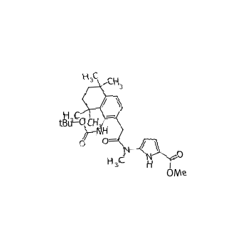 COC(=O)c1ccc(N(C)C(=O)Cc2ccc3c(c2NC(=O)OC(C)(C)C)C(C)(C)CCC3(C)C)[nH]1